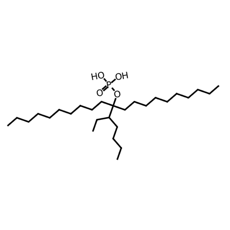 CCCCCCCCCCC(CCCCCCCCCC)(OP(=O)(O)O)C(CC)CCCC